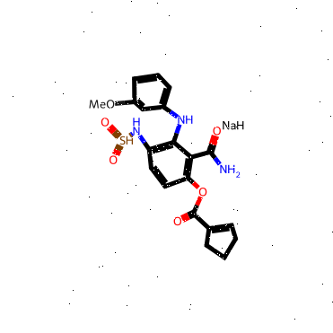 COc1cccc(Nc2c(N[SH](=O)=O)ccc(OC(=O)C3=CCCC3)c2C(N)=O)c1.[NaH]